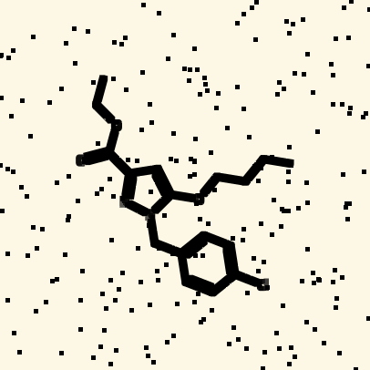 CCCCOc1cc(C(=O)OCC)nn1Cc1ccc(Cl)cc1